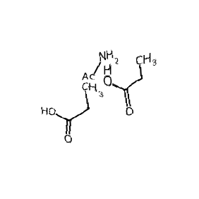 CC(N)=O.CCC(=O)O.CCC(=O)O